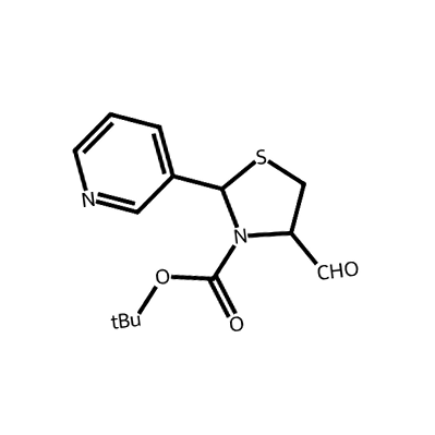 CC(C)(C)OC(=O)N1C(C=O)CSC1c1cccnc1